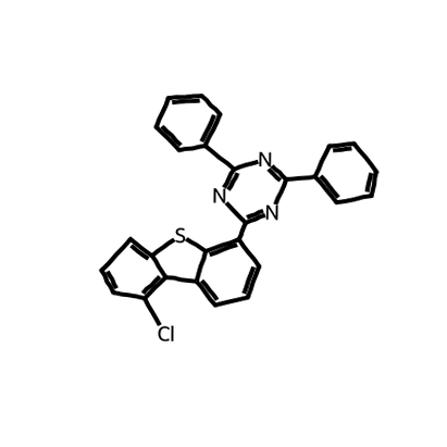 Clc1cccc2sc3c(-c4nc(-c5ccccc5)nc(-c5ccccc5)n4)cccc3c12